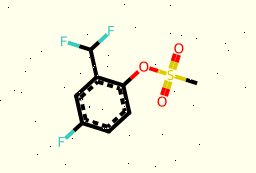 CS(=O)(=O)Oc1ccc(F)cc1C(F)F